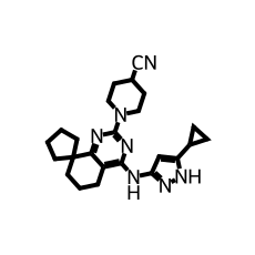 N#CC1CCN(c2nc(Nc3cc(C4CC4)[nH]n3)c3c(n2)C2(CCCC2)CCC3)CC1